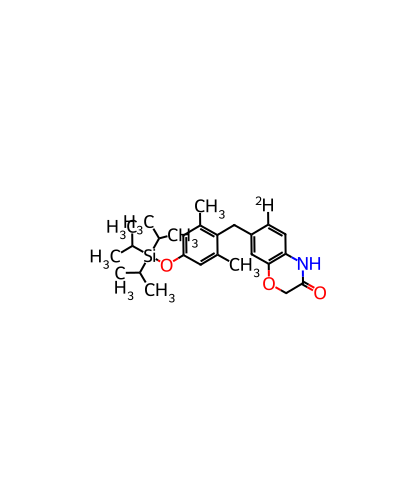 [2H]c1cc2c(cc1Cc1c(C)cc(O[Si](C(C)C)(C(C)C)C(C)C)cc1C)OCC(=O)N2